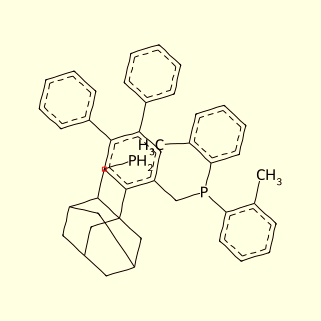 Cc1ccccc1P(Cc1cc(-c2ccccc2)c(-c2ccccc2)cc1C12CC3CC(CC(C3)C1CP)C2)c1ccccc1C